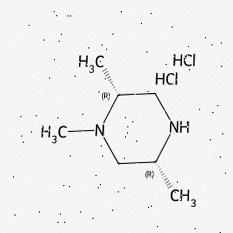 C[C@@H]1CN(C)[C@H](C)CN1.Cl.Cl